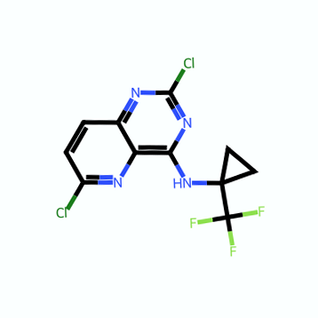 FC(F)(F)C1(Nc2nc(Cl)nc3ccc(Cl)nc23)CC1